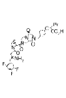 CC(C)C(Oc1ccc(CN2CC(=O)N3CCN(C(=O)C4SCCN4C(=O)C[C@H](N)Cc4cc(F)c(F)cc4F)CC3C2=O)cc1)C(=O)O